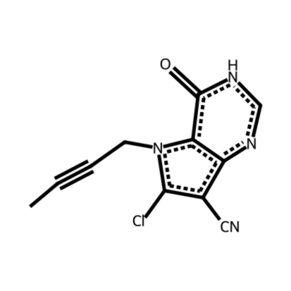 CC#CCn1c(Cl)c(C#N)c2nc[nH]c(=O)c21